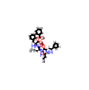 CC(C)C[C@H](NC(=O)[C@H](CCc1ccccc1)NC(=O)CCI)C(=O)N[C@@H](Cc1ccccc1)C(=O)OC(=O)c1ccccc1